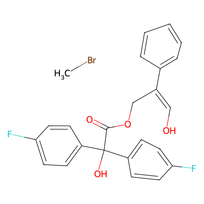 CBr.O=C(OCC(=CO)c1ccccc1)C(O)(c1ccc(F)cc1)c1ccc(F)cc1